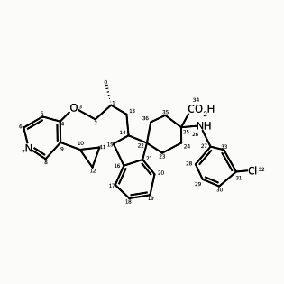 C[C@@H](COc1ccncc1C1CC1)CC1Cc2ccccc2C12CCC(Nc1cccc(Cl)c1)(C(=O)O)CC2